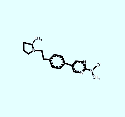 C[C@@H]1CCCN1CCc1ccc(-c2cnc([S+](C)[O-])nc2)cc1